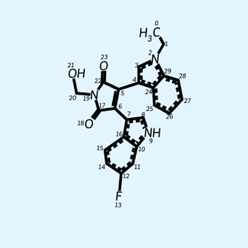 CCn1cc(C2=C(c3c[nH]c4cc(F)ccc34)C(=O)N(CO)C2=O)c2ccccc21